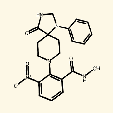 O=C(NO)c1cccc([N+](=O)[O-])c1N1CCC2(CC1)C(=O)NCN2c1ccccc1